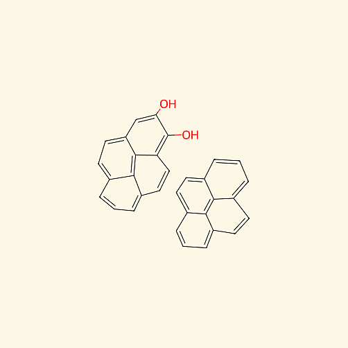 Oc1cc2ccc3cccc4ccc(c1O)c2c34.c1cc2ccc3cccc4ccc(c1)c2c34